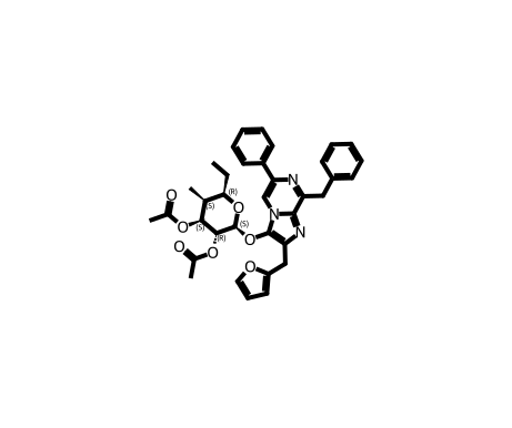 CC[C@H]1O[C@@H](Oc2c(Cc3ccco3)nc3c(Cc4ccccc4)nc(-c4ccccc4)cn23)[C@H](OC(C)=O)[C@@H](OC(C)=O)[C@H]1C